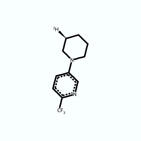 [2H][C@H]1CCCN(c2ccc(C(F)(F)F)nc2)C1